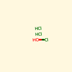 Cl.Cl.OCl